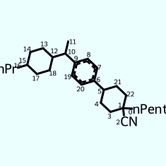 CCCCCC1(C#N)CCC(c2ccc(C(C)C3CCC(CCC)CC3)cc2)CC1